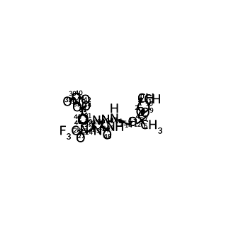 C#CCOCC(C)(COCC#C)COCC#CNc1nc2ncc(CN(C(=O)C(F)(F)F)c3ccc(C(=O)ON4C(=O)CCC4=O)cc3)nc2c(=O)[nH]1